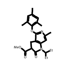 CCC(CC)N1C(=O)C(C(=O)OC)Cc2c1cc(C)nc2Oc1c(C)cc(C)cc1C